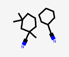 CC1(C)CCCC(C)(C#N)C1.N#CC1CCCCC1